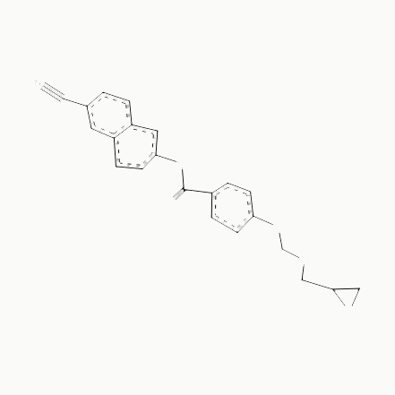 N#Cc1ccc2cc(OC(=O)c3ccc(OCOCC4CO4)cc3)ccc2c1